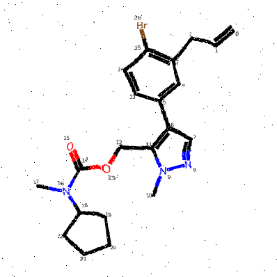 C=CCc1cc(-c2cnn(C)c2COC(=O)N(C)C2CCCC2)ccc1Br